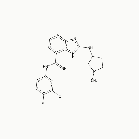 CN1CCC(Nc2nc3nccc(C(=N)Nc4ccc(F)c(Cl)c4)c3[nH]2)C1